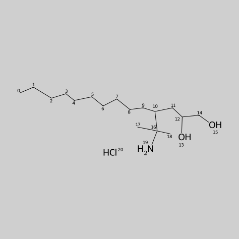 CCCCCCCCCCC(CC(O)CO)C(C)(C)N.Cl